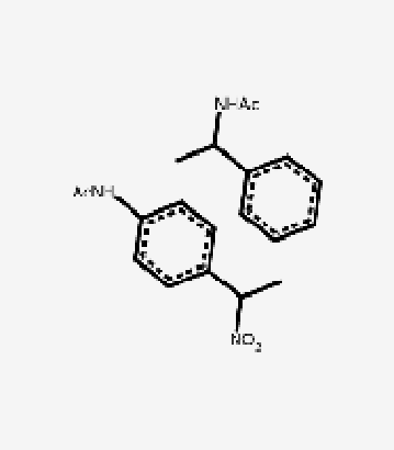 CC(=O)NC(C)c1ccccc1.CC(=O)Nc1ccc(C(C)[N+](=O)[O-])cc1